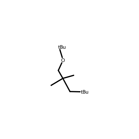 CC(C)(C)CC(C)(C)COC(C)(C)C